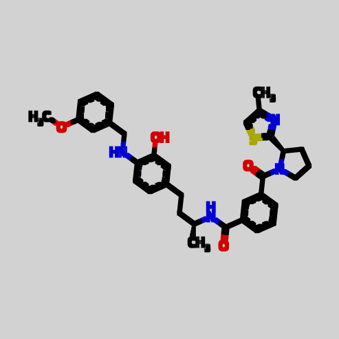 COc1cccc(CNc2ccc(CC[C@H](C)NC(=O)c3cccc(C(=O)N4CCC[C@@H]4c4nc(C)cs4)c3)cc2O)c1